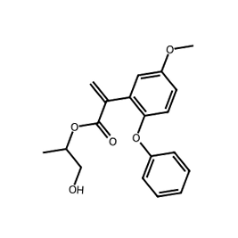 C=C(C(=O)OC(C)CO)c1cc(OC)ccc1Oc1ccccc1